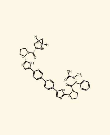 CN(C(=O)O)[C@@H](C(=O)N1CCC[C@H]1c1ncc(-c2ccc(-c3ccc(-c4cnc([C@@H]5CCCN5C(=O)[C@@H]5C[C@@H]6C[C@@H]6N5)[nH]4)cc3)cc2)[nH]1)c1ccccc1